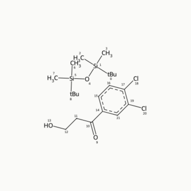 CC(C)(C)[Si](C)(C)O[Si](C)(C)C(C)(C)C.O=C(CCO)c1ccc(Cl)c(Cl)c1